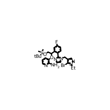 CCn1ncc(Cn2ccnc2-c2ccc(F)cc2C(CO[Si](C)(C)C(C)(C)C)Oc2cccnc2N)c1Br